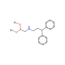 CCOC(CNCCC(c1ccccc1)c1ccccc1)OCC